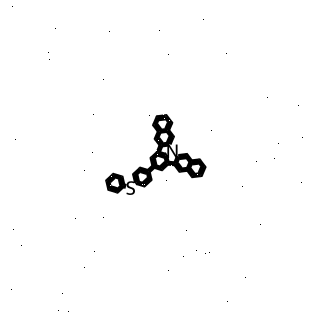 c1ccc(Sc2ccc(-c3cc4c5cc6ccccc6cc5n5c6cc7ccccc7cc6c(c3)c45)cc2)cc1